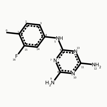 Cc1ccc(Nc2nc(N)nc(N)n2)cc1F